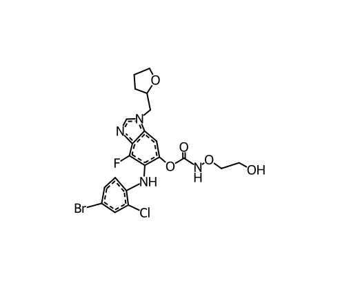 O=C(NOCCO)Oc1cc2c(ncn2CC2CCCO2)c(F)c1Nc1ccc(Br)cc1Cl